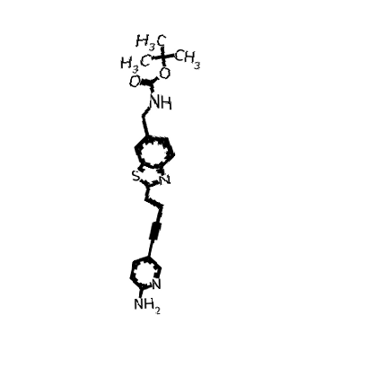 CC(C)(C)OC(=O)NCc1ccc2nc(/C=C/C#Cc3ccc(N)nc3)sc2c1